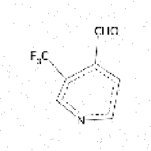 O=Cc1ccncc1C(F)(F)F